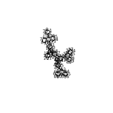 c1ccc(-c2c3ccccc3c(-c3ccc(-n4c5ccccc5c5cc(-c6cc(-c7cc8ccccc8c8ccccc78)cc7c6sc6ccc(-c8cc9ccccc9c9ccccc89)cc67)ccc54)cc3)c3ccccc23)cc1